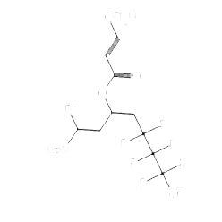 CCCCC(CC)CC(CC(F)(F)C(F)(F)C(F)(F)C(F)(F)F)OC(=O)/C=C/C(=O)O